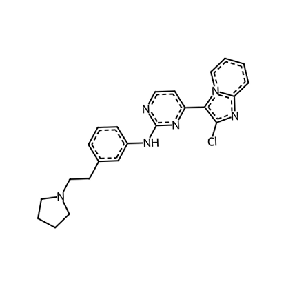 Clc1nc2ccccn2c1-c1ccnc(Nc2cccc(CCN3CCCC3)c2)n1